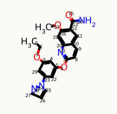 CCOc1cc(Oc2ccc3cc(C(N)=O)c(OC)cc3n2)cc(-n2cccn2)c1